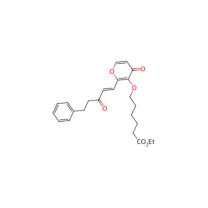 CCOC(=O)CCCCCOc1c(C=CC(=O)CCc2ccccc2)occc1=O